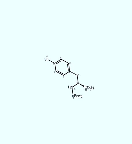 CCCCCN[C@@H](Cc1ccc(Br)cc1)C(=O)O